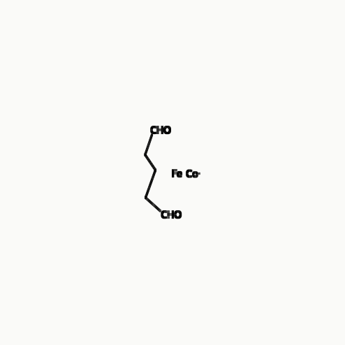 O=CCCCC=O.[Co].[Fe]